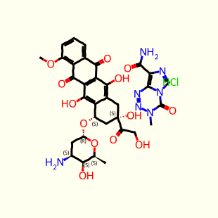 COc1cccc2c1C(=O)c1c(O)c3c(c(O)c1C2=O)C[C@@](O)(C(=O)CO)C[C@@H]3O[C@H]1C[C@H](N)[C@H](O)[C@H](C)O1.Cl.Cn1nnc2c(C(N)=O)ncn2c1=O